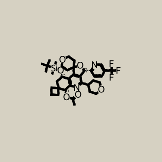 CC(=O)O[C@H]1c2nc(C3CCOCC3)c3c(c2[C@@H](O[Si](C)(C)C(C)(C)C)CC12CCC2)C1(CCOCC1)O[C@@H]3c1ccc(C(F)(F)F)cn1